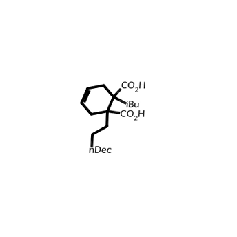 CCCCCCCCCCCCC1(C(=O)O)CC=CCC1(C(=O)O)C(C)CC